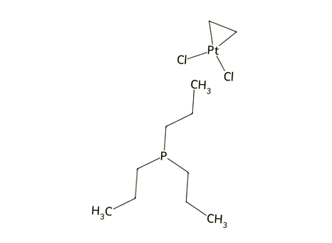 CCCP(CCC)CCC.[Cl][Pt]1([Cl])[CH2][CH2]1